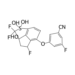 N#Cc1cc(F)cc(Oc2ccc3c4c2C(F)CC4(O)C(F)(F)S3(O)O)c1